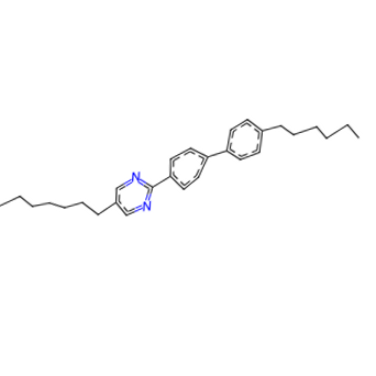 CCCCCCCc1cnc(-c2ccc(-c3ccc(CCCCCC)cc3)cc2)nc1